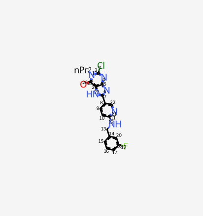 CCCn1c(Cl)nc2nc(-c3ccc(NCc4cccc(F)c4)nc3)[nH]c2c1=O